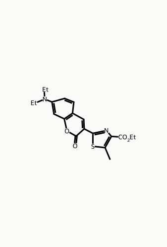 CCOC(=O)c1nc(-c2cc3ccc(N(CC)CC)cc3oc2=O)sc1C